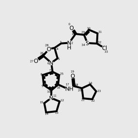 O=C(NCC1CN(c2ccc(N3CCCC3)c(NC(=O)C3CCCC3)c2)C(=O)O1)C1=CCC(Cl)S1